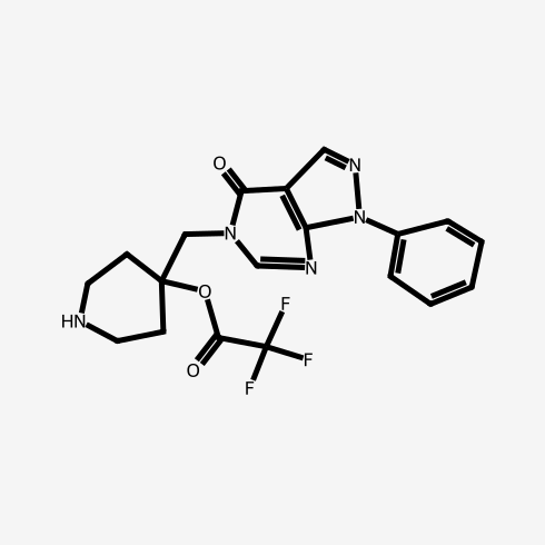 O=C(OC1(Cn2cnc3c(cnn3-c3ccccc3)c2=O)CCNCC1)C(F)(F)F